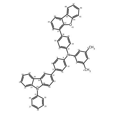 Cc1cc(C)cc(N(c2ccc(-c3ccc4c(c3)c3ccccc3n4-c3ccccc3)cc2)c2ccc(-c3cccc4c3oc3ccccc34)cc2)c1